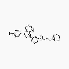 Fc1ccc(-c2nn(-c3cccc(OCCCN4CCCCC4)c3)c3ncccc23)cc1